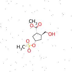 COC(=O)[C@H]1C[C@@H](OS(C)(=O)=O)C[C@@H]1CO